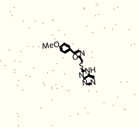 COc1ccc(-c2cnc(CSc3nc4ncncc4[nH]3)o2)cc1